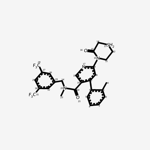 Cc1ccccc1-c1cc(N2CC[SH2]CC2=O)ncc1C(=O)N(C)Cc1cc(C(F)(F)F)cc(C(F)(F)F)c1